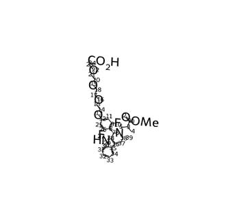 COC(=O)C(C)CN1[C@H](c2c(F)cc(OCCOCCOCCOCC(=O)O)cc2F)c2[nH]c3ccccc3c2C[C@H]1C